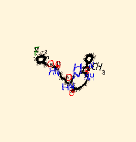 Cn1cc(C[C@@H]2NC(=O)[C@H](CCCCNC(=O)COCc3ccc(F)cc3)NC(=O)CCCCNC2=O)c2ccccc21